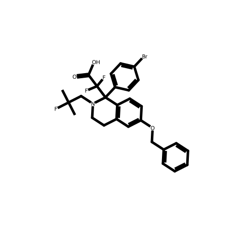 CC(C)(F)CN1CCc2cc(OCc3ccccc3)ccc2C1(c1ccc(Br)cc1)C(F)(F)C(=O)O